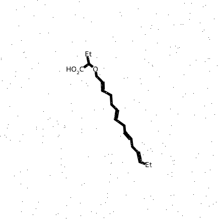 CCC=CCC=CCC=CCCC=CCOC(CC)C(=O)O